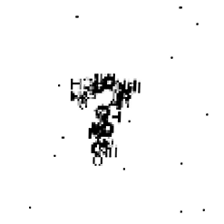 CNC(=O)COc1cc2cc(Nc3nc(NC[C@@H]4CCCN(c5cccc6c(C7CCC(=O)NC7=O)nn(C)c56)C4)ncc3Cl)ccc2n(C)c1=O